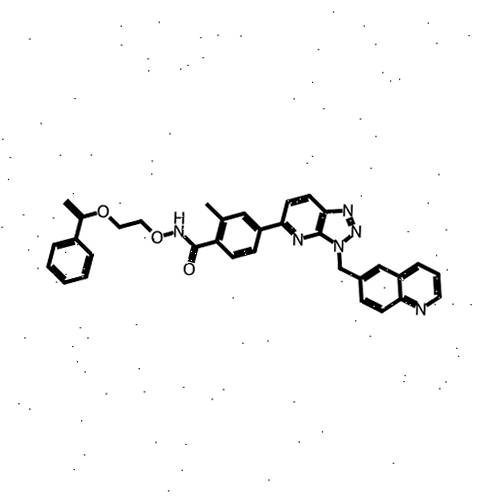 C=C(OCCONC(=O)c1ccc(-c2ccc3nnn(Cc4ccc5ncccc5c4)c3n2)cc1C)c1ccccc1